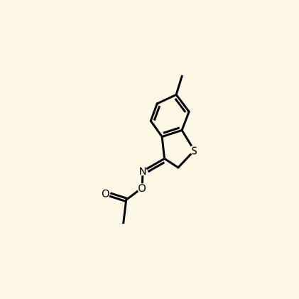 CC(=O)O/N=C1\CSc2cc(C)ccc21